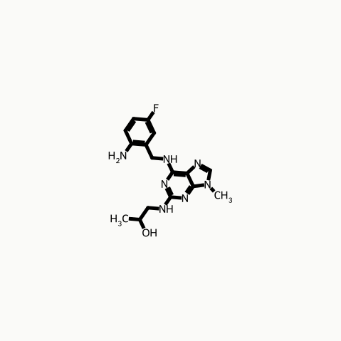 CC(O)CNc1nc(NCc2cc(F)ccc2N)c2ncn(C)c2n1